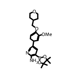 COC1=CC(c2cnc(N)c(B3OC(C)(C)C(C)(C)O3)c2)CC=C1OCC1CCOCC1